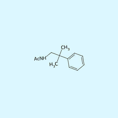 [CH2]C(=O)NCC(C)(C)c1ccccc1